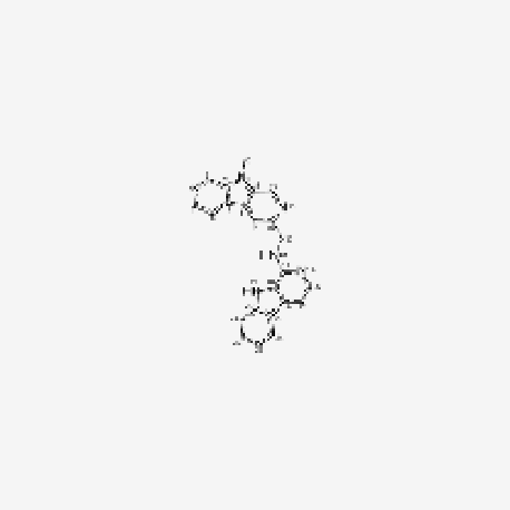 Cn1c2ccccc2c2cc(CNc3nccc4c3[nH]c3ccccc34)ncc21